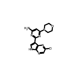 Nc1cc(N2CCOCC2)nc(-c2c[nH]c3ncc(Cl)nc23)n1